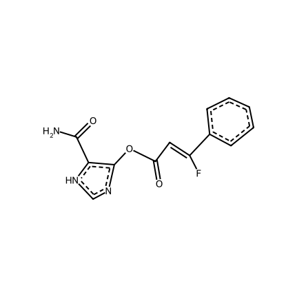 NC(=O)c1[nH]cnc1OC(=O)C=C(F)c1ccccc1